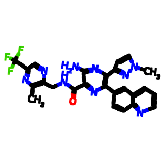 Cc1nc(C(F)(F)F)cnc1CNC(=O)c1nc(-c2ccc3ncccc3c2)c(-c2ccn(C)n2)nc1N